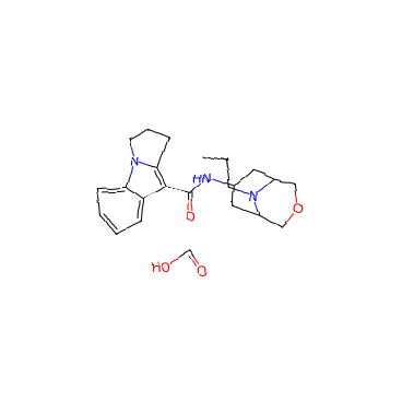 CCCN1C2COCC1CC(NC(=O)c1c3n(c4ccccc14)CCC3)C2.O=CO